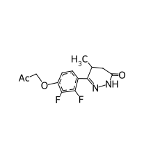 CC(=O)COc1ccc(C2=NNC(=O)CC2C)c(F)c1F